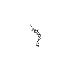 CCCCCNc1nc(C)c(Cc2ccc(OCCCN3CCN(C)CC3)cc2)c(N)n1